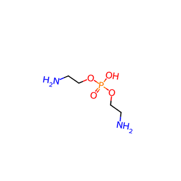 NCCOP(=O)(O)OCCN